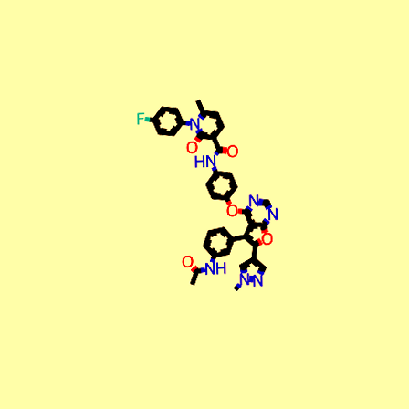 CC(=O)Nc1cccc(-c2c(-c3cnn(C)c3)oc3ncnc(Oc4ccc(NC(=O)c5ccc(C)n(-c6ccc(F)cc6)c5=O)cc4)c23)c1